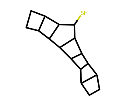 SC1C2C3CCC3C2C2C1C1C3C4CCC4C3C21